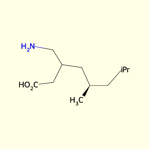 CC(C)C[C@@H](C)CC(CN)CC(=O)O